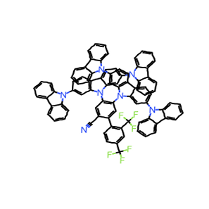 N#Cc1cc(-n2c3cc(-n4c5ccccc5c5ccccc54)ccc3c3ccc(-n4c5ccccc5c5ccccc54)cc32)c(-n2c3cc(-n4c5ccccc5c5ccccc54)ccc3c3ccc(-n4c5ccccc5c5ccccc54)cc32)cc1-c1ccc(C(F)(F)F)cc1C(F)(F)F